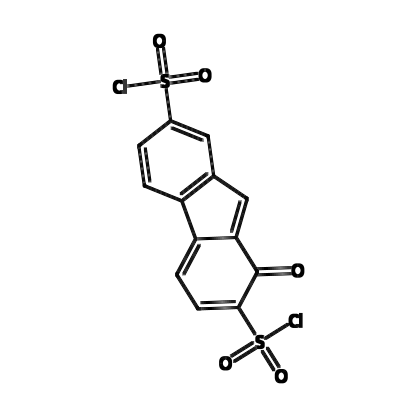 O=C1C2=Cc3cc(S(=O)(=O)Cl)ccc3C2=CC=C1S(=O)(=O)Cl